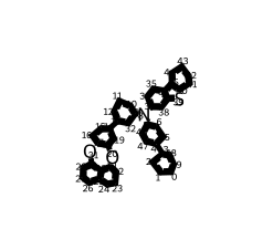 c1ccc(-c2ccc(N(c3cccc(-c4ccc5c(c4)Oc4cccc6cccc(c46)O5)c3)c3ccc4c(c3)sc3ccccc34)cc2)cc1